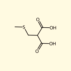 CSCC(C(=O)O)C(=O)O